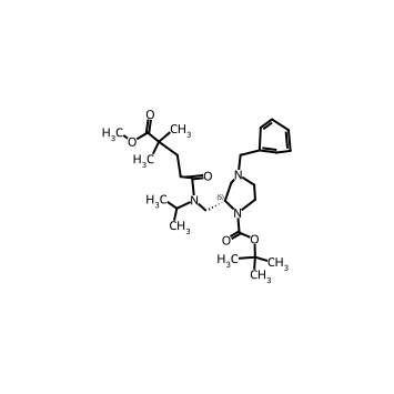 COC(=O)C(C)(C)CCC(=O)N(C[C@@H]1CN(Cc2ccccc2)CCN1C(=O)OC(C)(C)C)C(C)C